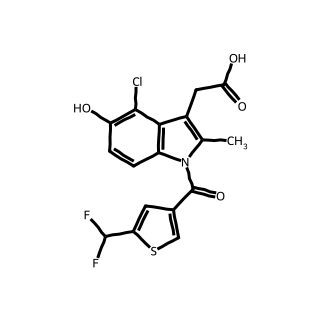 Cc1c(CC(=O)O)c2c(Cl)c(O)ccc2n1C(=O)c1csc(C(F)F)c1